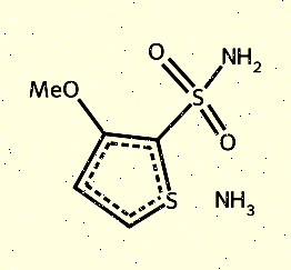 COc1ccsc1S(N)(=O)=O.N